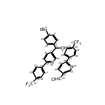 CC(C)(C)c1ccc(C(O)c2ccc(-c3ccc(C(F)(F)F)cc3)nc2)cc1.O=Cc1ccc(-c2ccc(C(F)(F)F)cc2)nc1